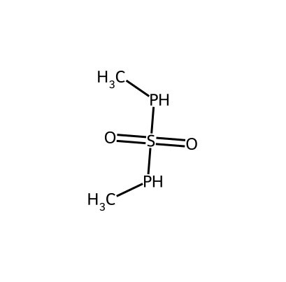 CPS(=O)(=O)PC